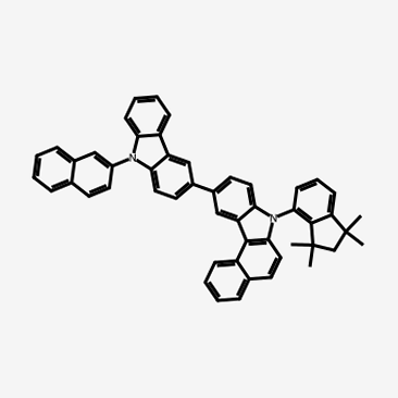 CC1(C)CC(C)(C)c2c(-n3c4ccc(-c5ccc6c(c5)c5ccccc5n6-c5ccc6ccccc6c5)cc4c4c5ccccc5ccc43)cccc21